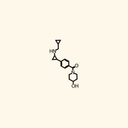 O=C(c1ccc(C2CC2NCC2CC2)cc1)N1CCC(O)CC1